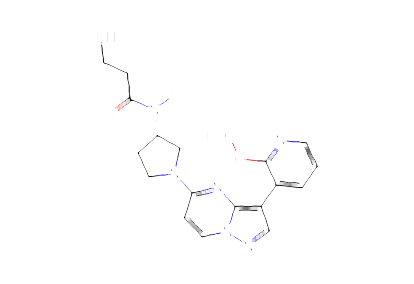 CCCC(=O)N(C)[C@H]1CCN(c2ccn3ncc(-c4cccnc4OC)c3n2)C1